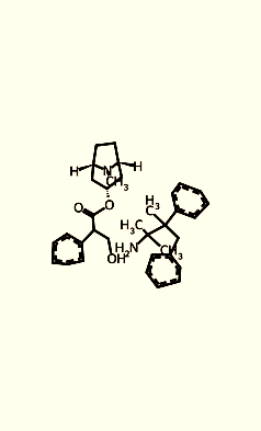 CC(C)(N)C(C)(Cc1ccccc1)c1ccccc1.CN1[C@@H]2CC[C@H]1C[C@@H](OC(=O)C(CO)c1ccccc1)C2